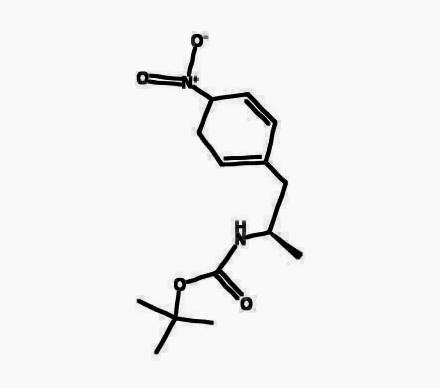 C[C@H](CC1=CCC([N+](=O)[O-])C=C1)NC(=O)OC(C)(C)C